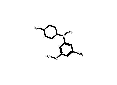 Cc1cc(OC(F)(F)F)cc(N(C)C2CCN(C)CC2)c1